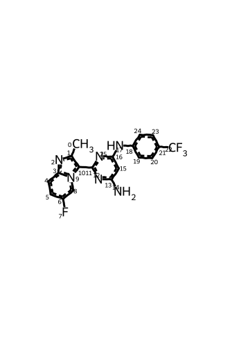 Cc1nc2ccc(F)cn2c1-c1nc(N)cc(Nc2ccc(C(F)(F)F)cc2)n1